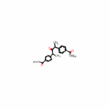 COC(=O)c1ccc(C(C)C(=O)C(C)c2ccc(C(=O)OC)cc2)cc1